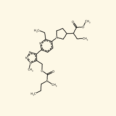 CCCN(C)C(=O)OCc1c(-c2ccc(N3CCC(C(CC)C(=O)OC)C3)c(CC)n2)nnn1C